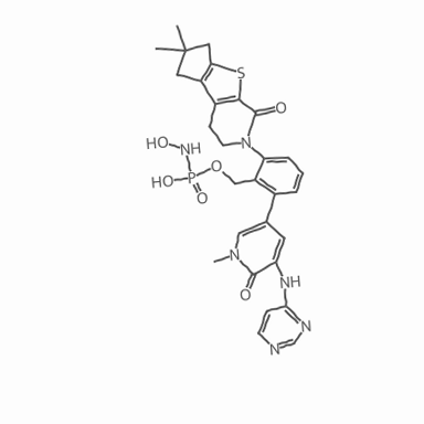 Cn1cc(-c2cccc(N3CCc4c(sc5c4CC(C)(C)C5)C3=O)c2COP(=O)(O)NO)cc(Nc2ccncn2)c1=O